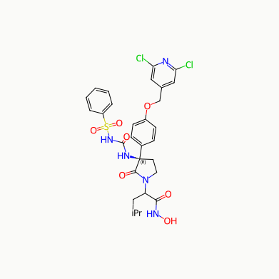 CC(C)CC(C(=O)NO)N1CC[C@@](NC(=O)NS(=O)(=O)c2ccccc2)(c2ccc(OCc3cc(Cl)nc(Cl)c3)cc2)C1=O